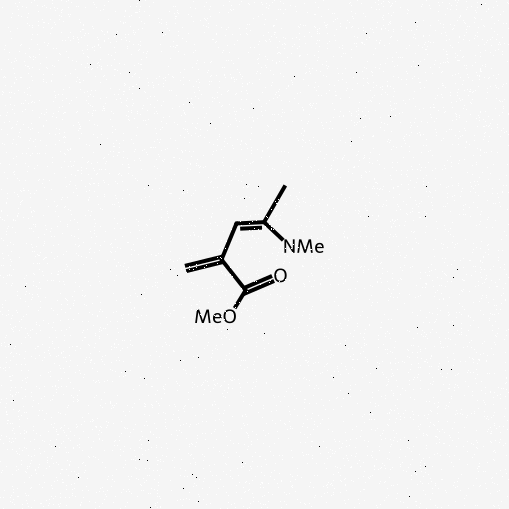 C=C(/C=C(/C)NC)C(=O)OC